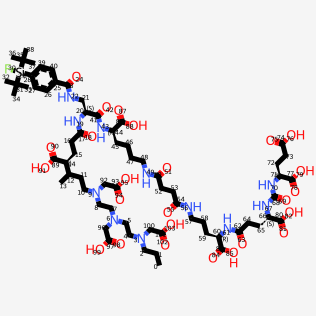 CCCN(CCN(CCN(CCC(C)[C@H](CCC(=O)N[C@@H](CNC(=O)c1ccc([Si](F)(C(C)(C)C)C(C)(C)C)cc1)C(=O)N[C@H](CCCCNC(=O)CCC(=O)NCCC[C@@H](NC(=O)CC[C@H](NC(=O)N[C@@H](CCC(=O)O)C(=O)O)C(=O)O)C(=O)O)C(=O)O)C(=O)O)CC(=O)O)CC(=O)O)CC(=O)O